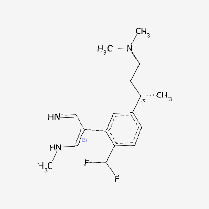 CN/C=C(\C=N)c1cc([C@@H](C)CCN(C)C)ccc1C(F)F